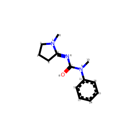 CN1CCCC1=NC(=O)N(C)c1ccccc1